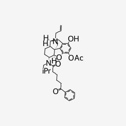 C=CCN1CC[C@]23c4c5c(O)cc(OC(C)=O)c4O[C@H]2[C@H](N(CC(C)C)C(=O)CCCCC(=O)c2ccccc2)CC[C@H]3[C@H]1C5